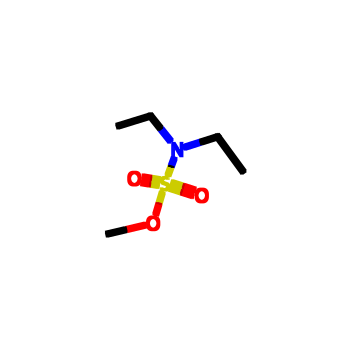 CCN(CC)S(=O)(=O)OC